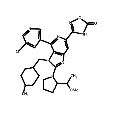 COC(C)C1CCCN1c1nc2cc(-c3noc(=O)[nH]3)nc(-c3cncc(Cl)c3)c2n1CC1CCC(C)CC1